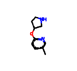 Cc1ccc(OC2CCNC2)nc1